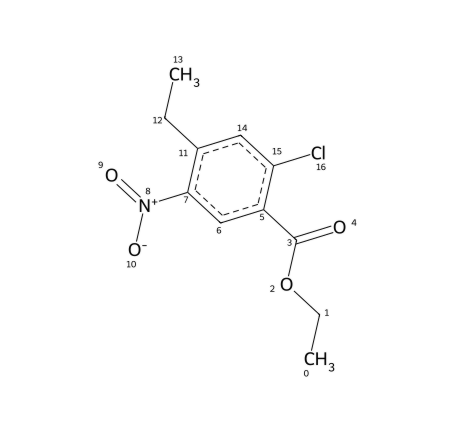 CCOC(=O)c1cc([N+](=O)[O-])c(CC)cc1Cl